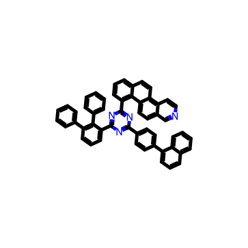 c1ccc(-c2cccc(-c3nc(-c4ccc(-c5cccc6ccccc56)cc4)nc(-c4cccc5ccc6c7ccncc7ccc6c45)n3)c2-c2ccccc2)cc1